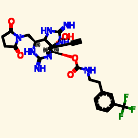 C#C[C@@]1(O)[C@@H](OC(=O)NCCc2cccc(C(F)(F)F)c2)CN2C(=N)N[C@@H](CN3C(=O)CCC3=O)C3NC(=N)NC321